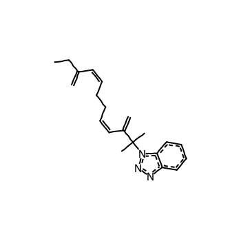 C=C(/C=C\CC/C=C\C(=C)C(C)(C)n1nnc2ccccc21)CC